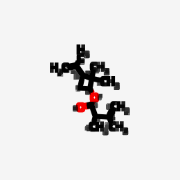 C=C(C)C(C)C(=O)OC1CC(C(=C)C)C1(C)C